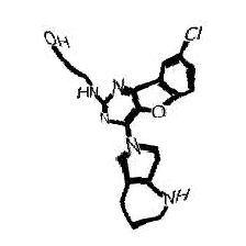 OCCNc1nc(N2CC3CCCNC3C2)c2oc3ccc(Cl)cc3c2n1